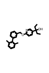 CCC(O)(CC)c1ccc(OCc2cccc(-c3c(C)cccc3C)c2)nc1